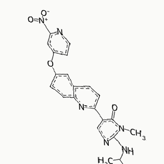 CC(C)Nc1ncc(-c2ccc3cc(Oc4ccnc([N+](=O)[O-])c4)ccc3n2)c(=O)n1C